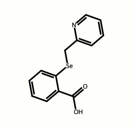 O=C(O)c1ccccc1[Se]Cc1ccccn1